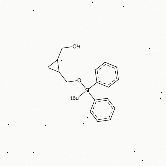 CC(C)(C)[Si](OCC1CC1CO)(c1ccccc1)c1ccccc1